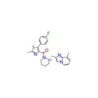 Cc1nc(C(=O)N2CCCC[C@H]2Cc2cn3cccc(C)c3n2)c(-c2ccc(F)cc2)s1